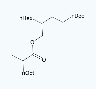 CCCCCCCCCCCCC(CCCCCC)COC(=O)C(C)CCCCCCCC